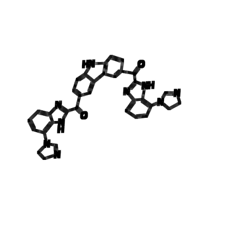 O=C(c1ccc2[nH]c3ccc(C(=O)c4nc5cccc(N6C=NCC6)c5[nH]4)cc3c2c1)c1nc2cccc(N3C=NCC3)c2[nH]1